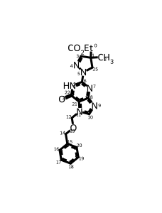 CCOC(=O)C1(C)C=NN(c2nc3ncn(COCc4ccccc4)c3c(=O)[nH]2)C1